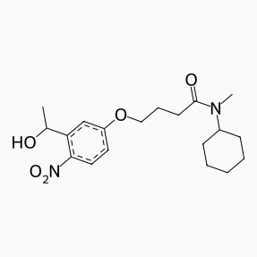 CC(O)c1cc(OCCCC(=O)N(C)C2CCCCC2)ccc1[N+](=O)[O-]